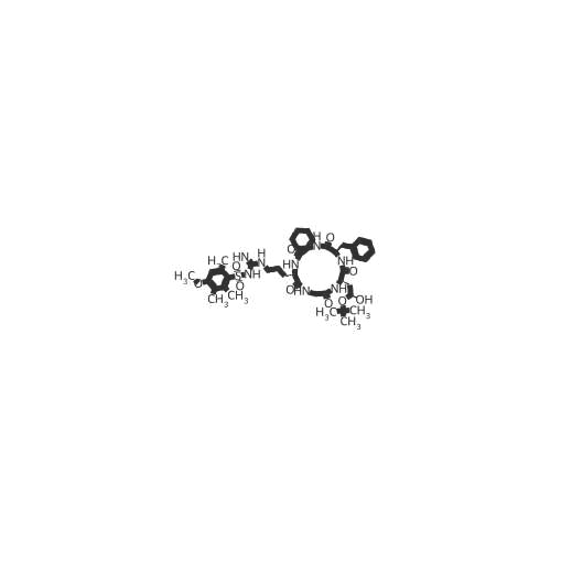 COc1cc(C)c(S(=O)(=O)NC(=N)NCCC[C@@H]2NC(=O)C3(CCCCC3)NC(=O)[C@@H](Cc3ccccc3)NC(=O)[C@H](C[C@H](O)OC(C)(C)C)NC(=O)CNC2=O)c(C)c1C